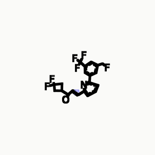 O=C(/C=C/c1cccc(-c2cc(CF)cc(C(F)(F)F)c2)n1)C1CC(F)(F)C1